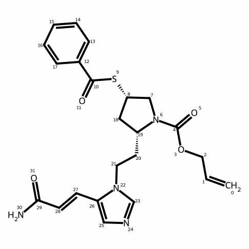 C=CCOC(=O)N1C[C@@H](SC(=O)c2ccccc2)C[C@H]1CCn1cncc1/C=C/C(N)=O